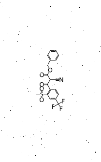 CS(=O)(=O)c1cc(C(F)(F)F)ccc1C(=O)C(C#N)C(=O)OCc1ccccc1